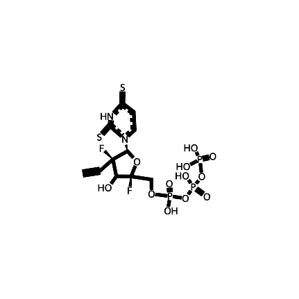 C#C[C@@]1(F)C(O)[C@@](F)(COP(=O)(O)OP(=O)(O)OP(=O)(O)O)O[C@H]1n1ccc(=S)[nH]c1=S